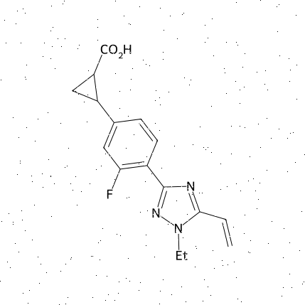 C=Cc1nc(-c2ccc(C3CC3C(=O)O)cc2F)nn1CC